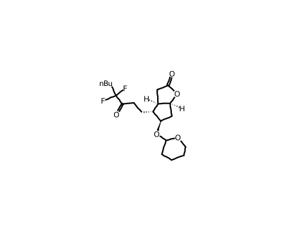 CCCCC(F)(F)C(=O)CC[C@@H]1[C@H]2CC(=O)O[C@H]2C[C@H]1OC1CCCCO1